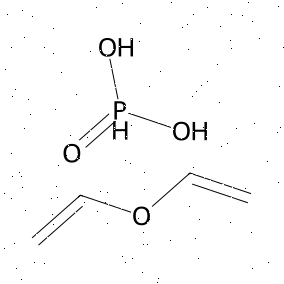 C=COC=C.O=[PH](O)O